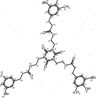 Cc1cc(CCC(=O)OCCn2c(=O)n(CCOC(=O)CCc3cc(C)c(O)c(C(C)(C)C)c3)c(=O)n(CCOC(=O)CCc3cc(C)c(O)c(C(C)(C)C)c3)c2=O)cc(C(C)(C)C)c1O